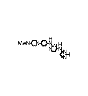 CNC1CCN(c2ccc(Nc3nccc(Nc4ccnc(I)n4)n3)cc2)CC1